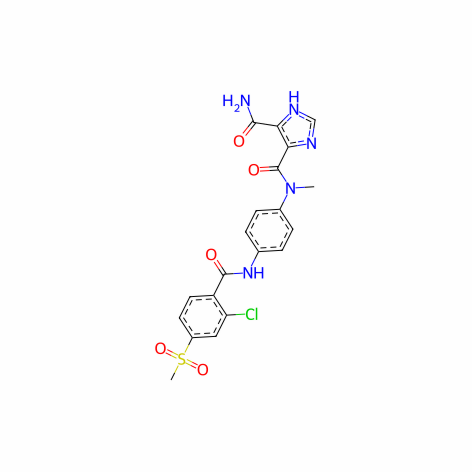 CN(C(=O)c1nc[nH]c1C(N)=O)c1ccc(NC(=O)c2ccc(S(C)(=O)=O)cc2Cl)cc1